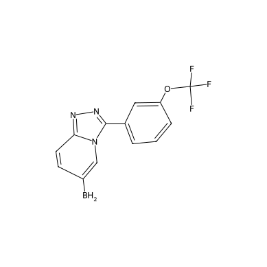 Bc1ccc2nnc(-c3cccc(OC(F)(F)F)c3)n2c1